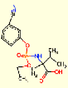 CCOP(=O)(NC(C)(C(=O)O)C(C)C)Oc1cccc(C#N)c1